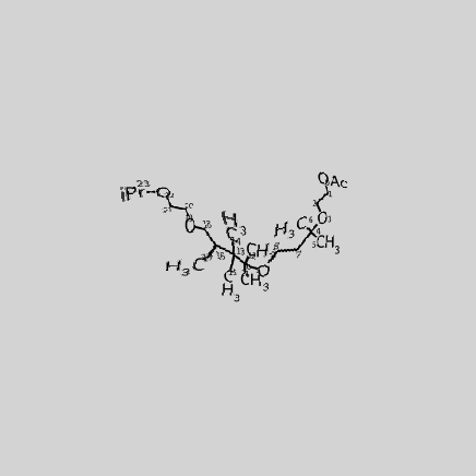 CC(=O)OCCOC(C)(C)CCOC(C)(C)C(C)(C)C(C)COCCOC(C)C